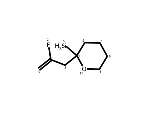 C=C(F)CC1([SiH3])CCCCO1